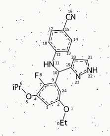 CCOc1cc(OC(C)C)c(F)c(C(Nc2ccc(C#N)cc2)c2cc[nH]n2)c1